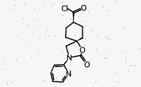 O=C1O[C@]2(CC[C@H](C(=O)Cl)CC2)CN1c1ccccn1